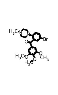 COc1cc(C(=O)c2cc(Br)ccc2N2CCN(C)CC2)cc(OC)c1OC